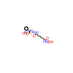 O=C(CCCCCCC(=O)Nc1nc(-c2ccccc2[N+](=O)[O-])cs1)NO